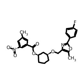 Cc1cc(C(=O)O[C@@H]2CCC[C@H](OCc3nc(-c4ccc(F)cc4)oc3C)C2)cc([N+](=O)[O-])c1